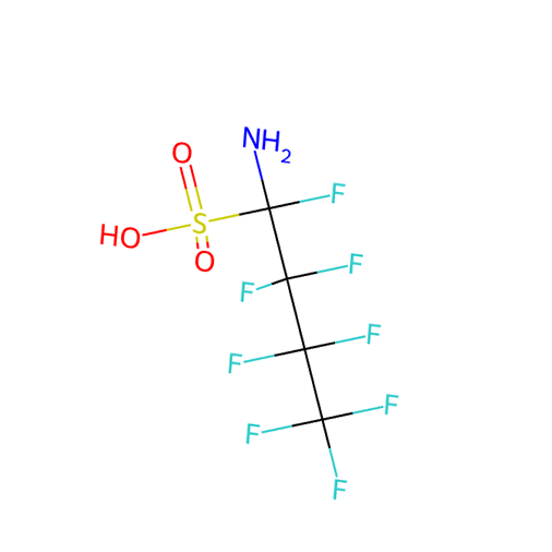 NC(F)(C(F)(F)C(F)(F)C(F)(F)F)S(=O)(=O)O